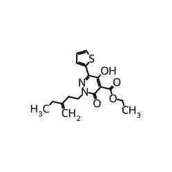 C=C(CC)CCn1nc(-c2cccs2)c(O)c(C(=O)OCC)c1=O